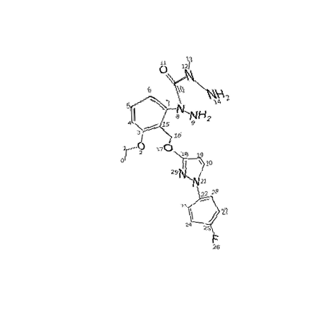 CCOc1cccc(N(N)C(=O)N(C)N)c1COc1ccn(-c2ccc(F)cc2)n1